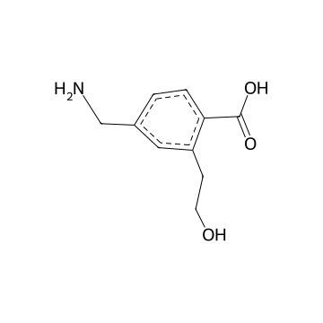 NCc1ccc(C(=O)O)c(CCO)c1